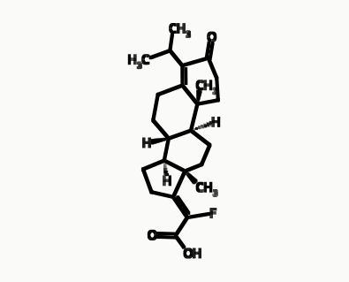 CC(C)C1=C2CC[C@@H]3[C@H](CC[C@]4(C)C(=C(F)C(=O)O)CC[C@@H]34)[C@@]2(C)CCC1=O